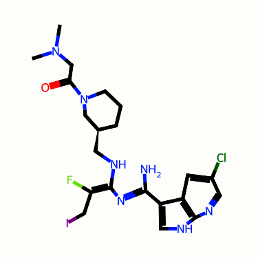 CN(C)CC(=O)N1CCC[C@@H](CNC(/N=C(\N)c2c[nH]c3ncc(Cl)cc23)=C(\F)CI)C1